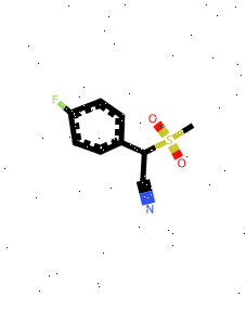 CS(=O)(=O)C(C#N)c1ccc(F)cc1